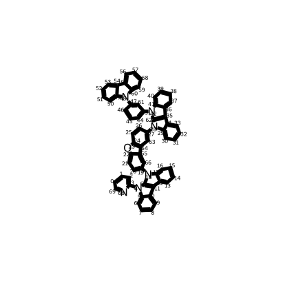 c1ccc(-n2c3ccccc3c3c4ccccc4n(-c4ccc5oc6ccc(-n7c8ccccc8c8c9ccccc9n(-c9cccc(-n%10c%11ccccc%11c%11ccccc%11%10)c9)c87)cc6c5c4)c32)nc1